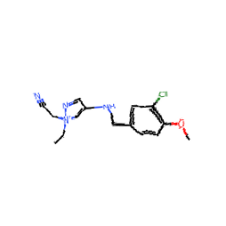 CC[N+]1(CC#N)C=C(NCc2ccc(OC)c(Cl)c2)C=N1